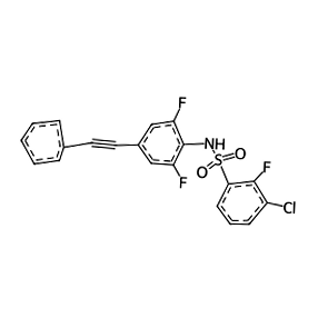 O=S(=O)(Nc1c(F)cc(C#Cc2ccccc2)cc1F)c1cccc(Cl)c1F